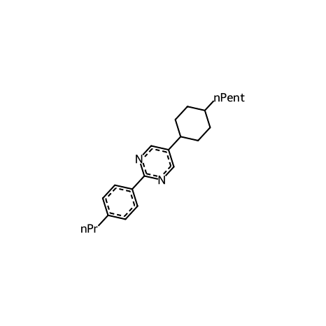 CCCCCC1CCC(c2cnc(-c3ccc(CCC)cc3)nc2)CC1